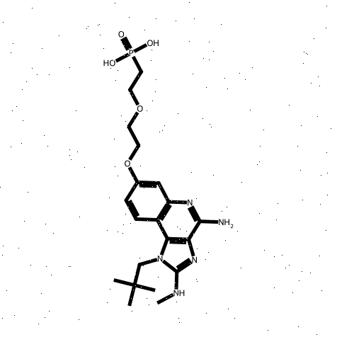 CNc1nc2c(N)nc3cc(OCCOCCP(=O)(O)O)ccc3c2n1CC(C)(C)C